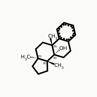 C[C@@]12CCC[C@@]1(C)[C@]1(O)CCc3ccccc3[C@@]1(C)CC2